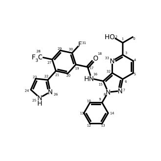 CC(O)c1ccc2nn(-c3ccccc3)c(NC(=O)c3cc(-c4cc[nH]n4)c(C(F)(F)F)cc3F)c2n1